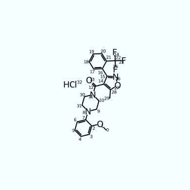 COc1ccccc1N1CCN(C(=O)c2c(-c3ccccc3C(F)(F)F)noc2C)CC1.Cl